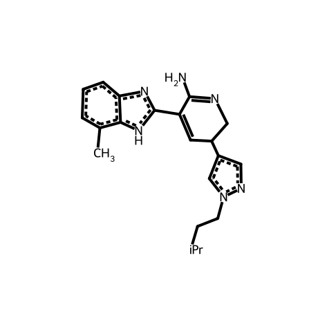 Cc1cccc2nc(C3=CC(c4cnn(CCC(C)C)c4)CN=C3N)[nH]c12